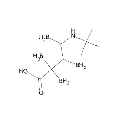 BC(NC(C)(C)C)C(B)C(B)(B)C(=O)O